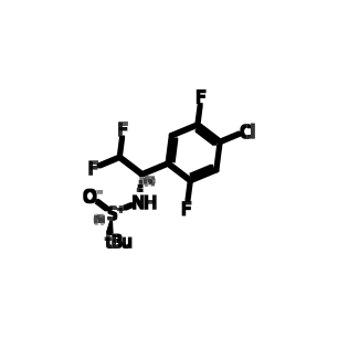 CC(C)(C)[S@@+]([O-])N[C@@H](c1cc(F)c(Cl)cc1F)C(F)F